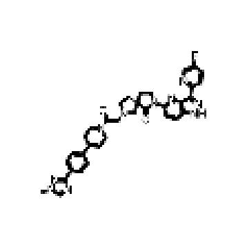 Cn1cnc(-c2ccc(C3=CCN(C(=O)CN4CC[C@]5(CCN(c6ccc7[nH]nc(-c8ccc(F)cn8)c7n6)C5=O)C4)CC3)cc2)n1